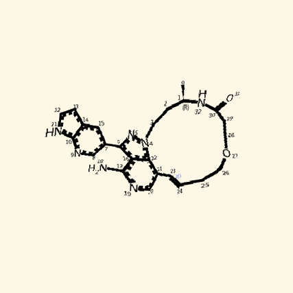 C[C@@H]1CCn2nc(-c3cnc4[nH]ccc4c3)c3c(N)ncc(c32)/C=C/CCOCCC(=O)N1